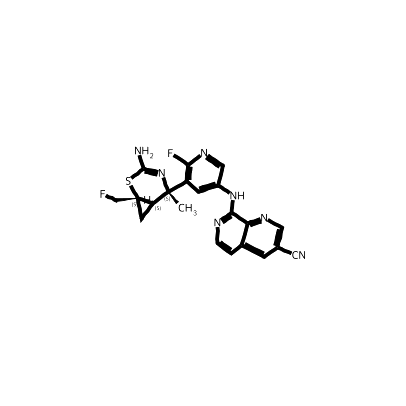 C[C@]1(c2cc(Nc3nccc4cc(C#N)cnc34)cnc2F)N=C(N)S[C@@]2(CF)C[C@H]21